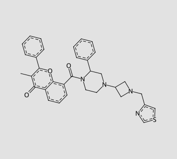 Cc1c(-c2ccccc2)oc2c(C(=O)N3CCN(C4CN(Cc5cscn5)C4)CC3c3ccccc3)cccc2c1=O